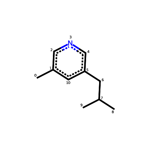 Cc1cncc(CC(C)C)c1